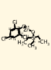 CC[Si](CC)(CC)[O][Zn][O]c1c(Cl)cc(Cl)cc1Cl